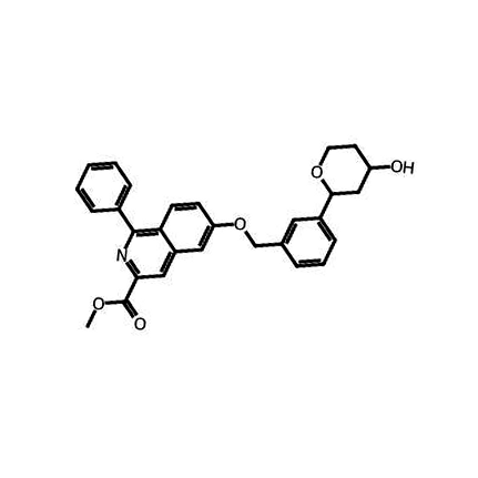 COC(=O)c1cc2cc(OCc3cccc(C4CC(O)CCO4)c3)ccc2c(-c2ccccc2)n1